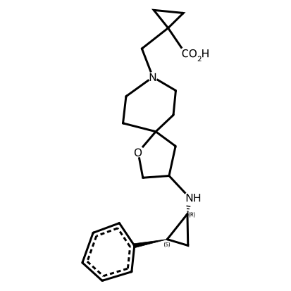 O=C(O)C1(CN2CCC3(CC2)CC(N[C@@H]2C[C@H]2c2ccccc2)CO3)CC1